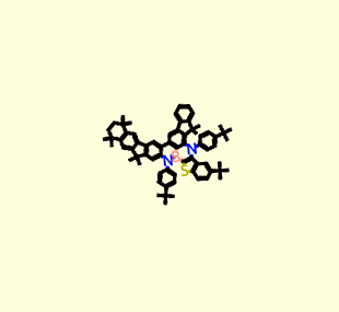 CC(C)(C)c1ccc(N2B3c4sc5ccc(C(C)(C)C)cc5c4N(c4ccc(C(C)(C)C)cc4)c4c3c(cc3c4C(C)(C)c4ccccc4-3)-c3cc4c(cc32)C(C)(C)c2cc3c(cc2-4)C(C)(C)CCC3(C)C)cc1